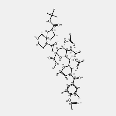 COC(=O)[C@@]1(CC(=O)N2CCOC[C@@]23CCN(C(=O)OC(C)(C)C)C3)C[C@H](OC(C)=O)[C@@H](NC(C)=O)[C@H]([C@H](OC(C)=O)[C@@H](CNC(=O)c2cc(C)c(OC(C)=O)c(C)c2)OC(C)=O)O1